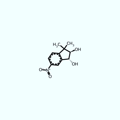 CC1(C)c2ccc([N+](=O)[O-])cc2[C@@H](O)[C@@H]1O